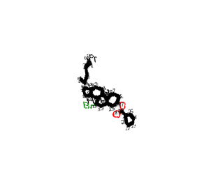 CC(C)CCCC(C)[C@H]1CC[C@H]2[C@@H]3C(Br)C=C4C[C@@H](OC(=O)c5ccccc5)CC[C@]4(C)[C@H]3CC[C@]12C